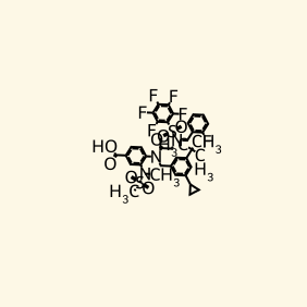 CN(c1cc(C(=O)O)ccc1N(Cc1cc(C2CC2)cc(C(C)(C)C)c1)C(=O)CN(Cc1ccccc1F)S(=O)(=O)c1c(F)c(F)c(F)c(F)c1F)S(C)(=O)=O